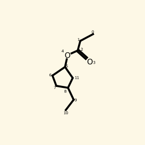 CCC(=O)OC1CCC(CC)C1